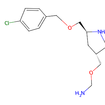 NCOC[C@H]1CN[C@H](COCc2ccc(Cl)cc2)C1